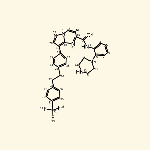 O=C(Nc1ccccc1N1CCNCC1)c1ccn2ncc(-c3ccc(CCc4ccc(C(F)(F)F)cc4)cc3)c2n1